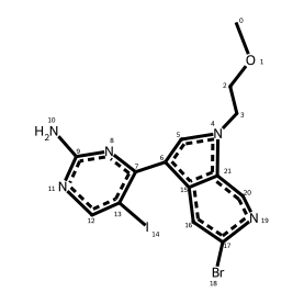 COCCn1cc(-c2nc(N)ncc2I)c2cc(Br)ncc21